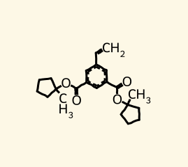 C=Cc1cc(C(=O)OC2(C)CCCC2)cc(C(=O)OC2(C)CCCC2)c1